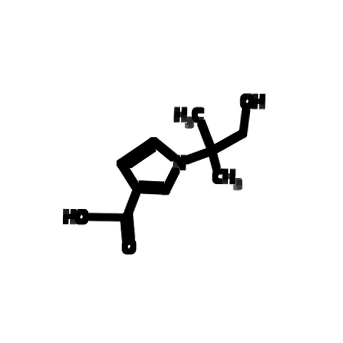 CC(C)(CO)n1ccc(C(=O)O)c1